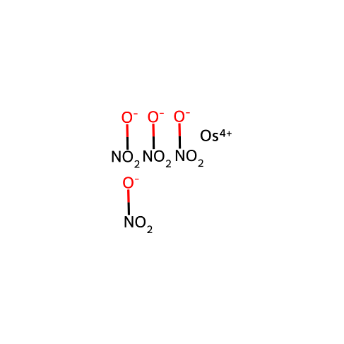 O=[N+]([O-])[O-].O=[N+]([O-])[O-].O=[N+]([O-])[O-].O=[N+]([O-])[O-].[Os+4]